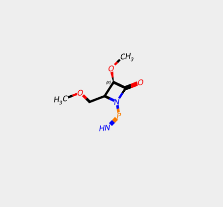 COCC1[C@@H](OC)C(=O)N1P=N